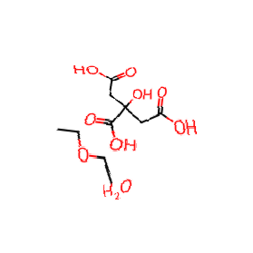 CCOCC.O.O=C(O)CC(O)(CC(=O)O)C(=O)O